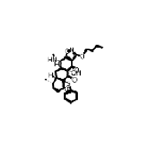 CCCCOc1noc2c1C(=O)[C@@]1(O)C(=O)[C@]3(Sc4ccccc4)C(=O)C=C[C@H](C)[C@@H]3C[C@H]1[C@@H]2NC